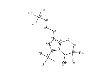 OC1c2c(C(F)(F)F)nn(CCCC(F)(F)F)c2CCC1(F)F